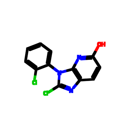 Oc1ccc2nc(Cl)n(-c3ccccc3Cl)c2n1